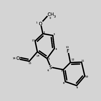 COc1ccc(Sc2ccccc2F)c(C=O)c1